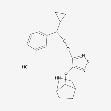 Cl.c1ccc(C(COc2nsnc2OC2C3CCC2NC3)C2CC2)cc1